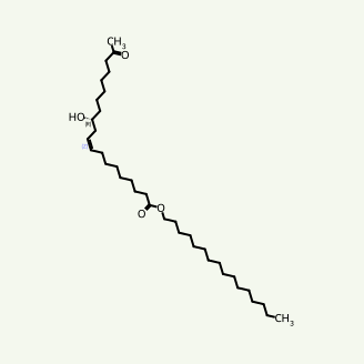 CCCCCCCCCCCCCCCCOC(=O)CCCCCCC/C=C\C[C@H](O)CCCCCCC(C)=O